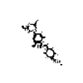 Cc1cc(N2CC(C)O[C@H](C)C2)ccc1NCC1CCC(N)CC1